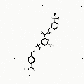 Cc1cc(C(F)(F)CCCc2ccc(C(=O)O)cc2)cc(C(=O)NCc2cccc(C(F)(F)F)c2)n1